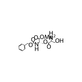 COC(=O)[C@H](COC(=O)[C@@H](N)CO)NC(=O)OCc1ccccc1